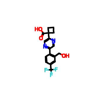 O=C(O)C1(c2cnc(-c3ccc(C(F)(F)F)cc3CO)cn2)CCC1